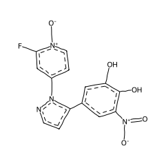 O=[N+]([O-])c1cc(-c2ccnn2-c2cc[n+]([O-])c(F)c2)cc(O)c1O